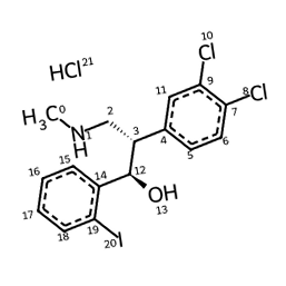 CNC[C@H](c1ccc(Cl)c(Cl)c1)[C@@H](O)c1ccccc1I.Cl